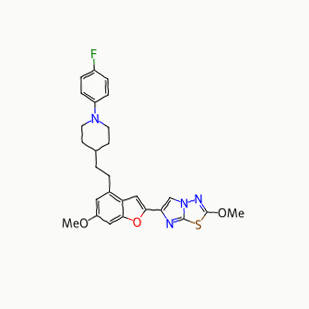 COc1cc(CCC2CCN(c3ccc(F)cc3)CC2)c2cc(-c3cn4nc(OC)sc4n3)oc2c1